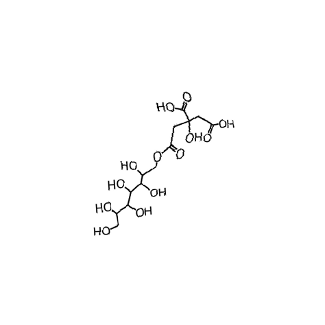 O=C(O)CC(O)(CC(=O)OCC(O)C(O)C(O)C(O)C(O)CO)C(=O)O